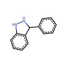 c1ccc([C]2NNc3ccccc32)cc1